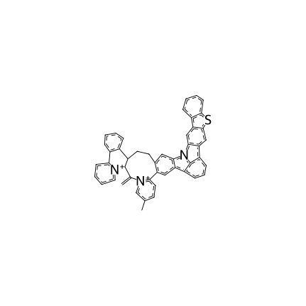 C=C1C2C(CCc3cc4c(cc3-c3ccc(C)c[n+]31)c1cccc3c5cc6sc7ccccc7c6cc5n4c13)c1ccccc1-c1cccc[n+]12